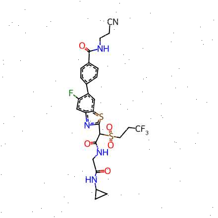 N#CCCNC(=O)c1ccc(-c2cc3sc(C(C(=O)NCC(=O)NC4CC4)S(=O)(=O)CCC(F)(F)F)nc3cc2F)cc1